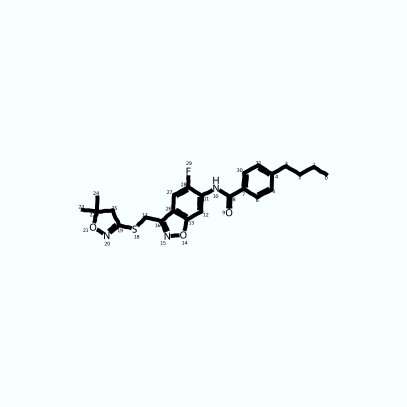 CCCCc1ccc(C(=O)Nc2cc3onc(CSC4=NOC(C)(C)C4)c3cc2F)cc1